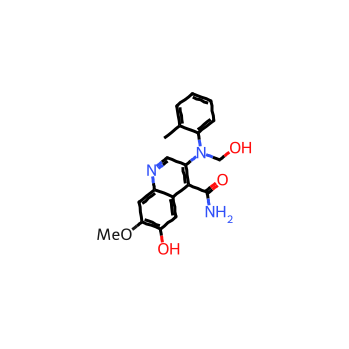 COc1cc2ncc(N(CO)c3ccccc3C)c(C(N)=O)c2cc1O